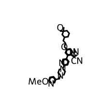 COc1ccc(CN2CCN(c3ccc(-c4cc(OCCC5CCCC6(COC6)C5)cn5ncc(C#N)c45)cn3)CC2)cn1